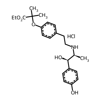 CCOC(=O)C(C)(C)Oc1ccc(CCN[C@@H](C)[C@H](O)c2ccc(O)cc2)cc1.Cl